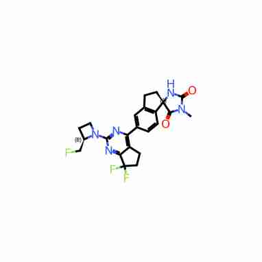 CN1C(=O)N[C@]2(CCc3cc(-c4nc(N5CC[C@@H]5CF)nc5c4CCC5(F)F)ccc32)C1=O